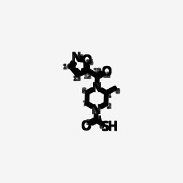 CC1CN(C(=O)S)CCN1C(=O)c1ccno1